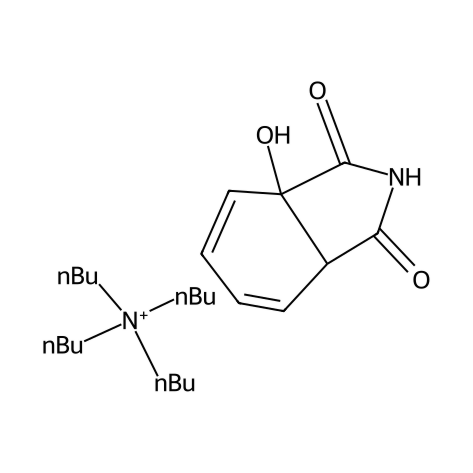 CCCC[N+](CCCC)(CCCC)CCCC.O=C1NC(=O)C2(O)C=CC=CC12